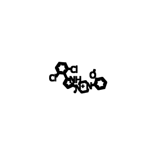 COc1ccccc1N1CC[N+](C)(c2ccc(-c3c(Cl)cccc3Cl)[nH]2)CC1